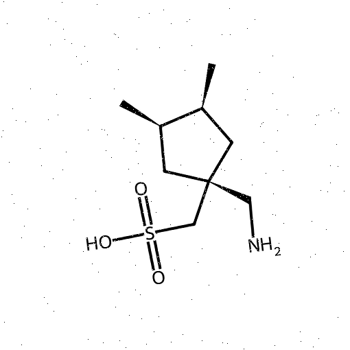 C[C@@H]1C[C@@](CN)(CS(=O)(=O)O)C[C@@H]1C